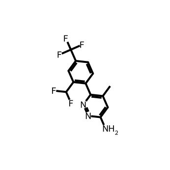 Cc1cc(N)nnc1-c1ccc(C(F)(F)F)cc1C(F)F